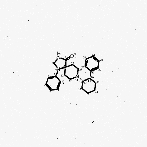 O=C1NCN(c2ccccc2)C12CCN([C@H]1CCCC[C@@H]1c1ccccc1)CC2